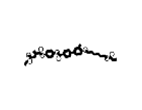 C=CC(=O)OCCCCCCOc1ccc(-c2ccc(C(=O)Oc3ccc(OC(=O)C(=C)CC(=O)OCC)cc3)cc2)cc1C